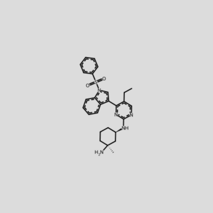 CCc1cnc(N[C@@H]2CCC[C@](C)(N)C2)nc1-c1cn(S(=O)(=O)c2ccccc2)c2ccccc12